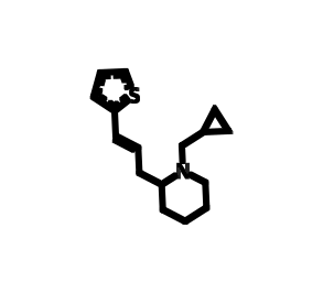 C(=C\c1cccs1)/CC1CCCCN1CC1CC1